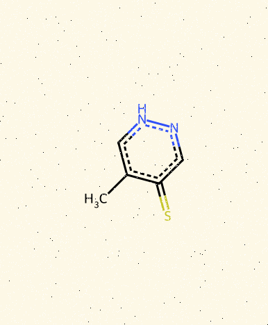 Cc1c[nH]ncc1=S